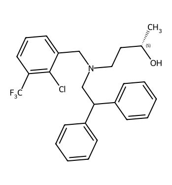 C[C@H](O)CCN(Cc1cccc(C(F)(F)F)c1Cl)CC(c1ccccc1)c1ccccc1